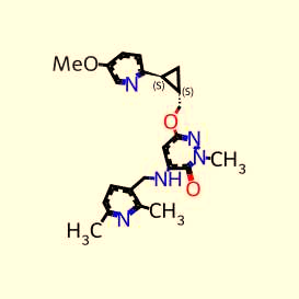 COc1ccc([C@H]2C[C@@H]2COc2cc(NCc3ccc(C)nc3C)c(=O)n(C)n2)nc1